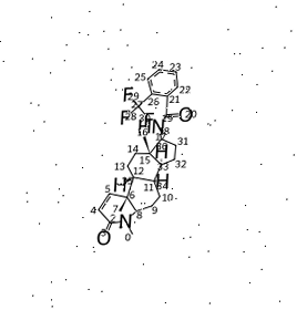 CN1C(=O)C=C[C@@]2(C)C1CC[C@@H]1[C@H]2CC[C@]2(C)C(NC(=O)c3ccccc3C(F)(F)F)CC[C@@H]12